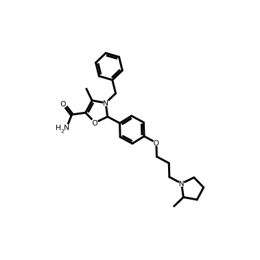 CC1=C(C(N)=O)OC(c2ccc(OCCCN3CCCC3C)cc2)N1Cc1ccccc1